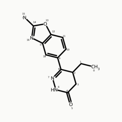 CCC1CC(=O)NN=C1c1ccc2oc([N])nc2c1